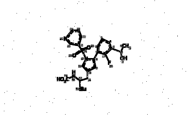 CC(O)c1cccc(-c2cc(CC(NC(=O)O)C(C)(C)C)cn2S(=O)(=O)c2cccnc2)c1F